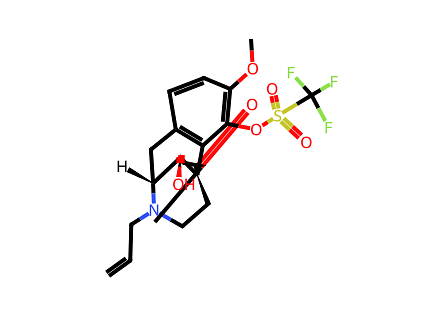 C=CCN1CC[C@]23CC(=O)CC[C@@]2(O)[C@H]1Cc1ccc(OC)c(OS(=O)(=O)C(F)(F)F)c13